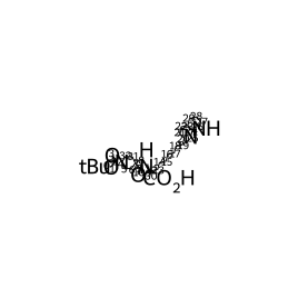 CC(C)(C)OC(=O)N1CCC(C)(C(=O)NC(CCCCCCCc2ccc3c(n2)NCCC3)C(=O)O)CC1